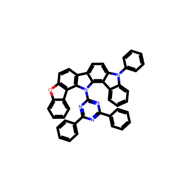 c1ccc(-c2nc(-c3ccccc3)nc(-n3c4c(ccc5oc6ccccc6c54)c4ccc5c(c6ccccc6n5-c5ccccc5)c43)n2)cc1